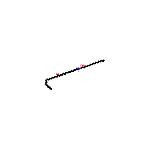 CCCCC/C=C\C/C=C\CCCCCCCC(=O)CCCCCCCCCCCCCCC(=O)NC[C@H](O)CCCCCCCCCCCCCCCC